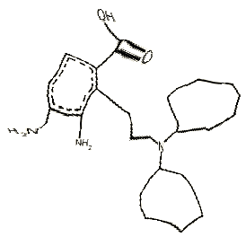 Nc1ccc(C(=O)O)c(CCN(C2CCCCC2)C2CCCCC2)c1N